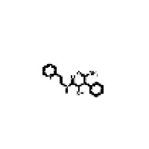 CN(CCc1ccccn1)C(=O)C(O)C(C(N)=O)c1ccccc1